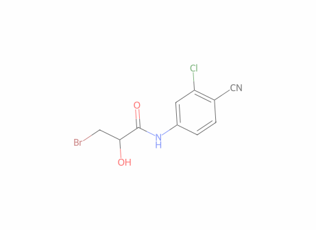 N#Cc1ccc(NC(=O)C(O)CBr)cc1Cl